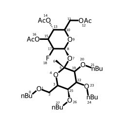 CCCCOCC1O[C@](C)(O[C@@H]2OC(COC(C)=O)[C@@H](OC(C)=O)C(OC(C)=O)C2F)C(OCCCC)C(OCCCC)[C@H]1OCCCC